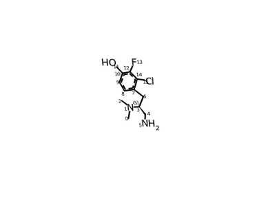 CN(C)[C@H](CN)Cc1ccc(O)c(F)c1Cl